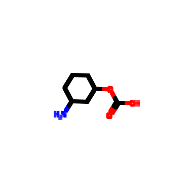 NC1CCCC(OC(=O)O)C1